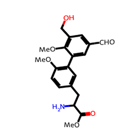 COC(=O)C(N)Cc1ccc(OC)c(-c2cc(C=O)cc(CO)c2OC)c1